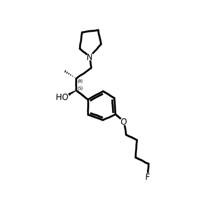 C[C@H](CN1CCCC1)[C@H](O)c1ccc(OCCCCF)cc1